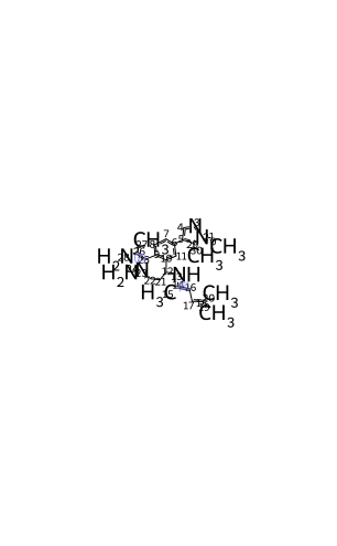 CCn1ncc(-c2ccc3c(c2)C(N/C(C)=C/C=C(C)C)CCN(N)/C3=C(/C)N)c1C